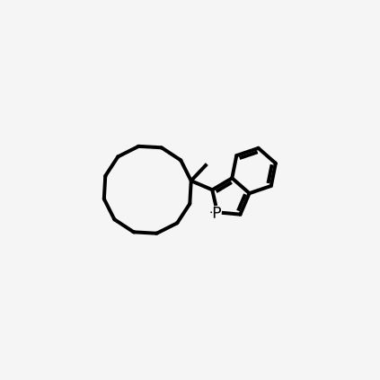 CC1(C2=c3ccccc3=C[P]2)CCCCCCCCCCC1